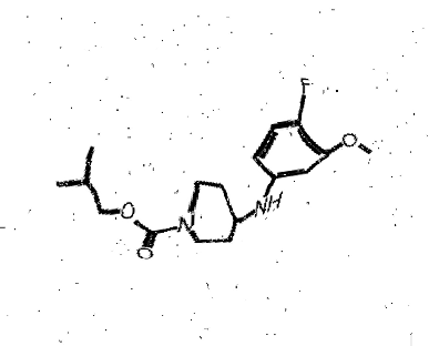 COc1cc(NC2CCN(C(=O)OCC(C)C)CC2)ccc1F